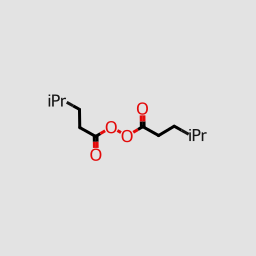 CC(C)CCC(=O)OOC(=O)CCC(C)C